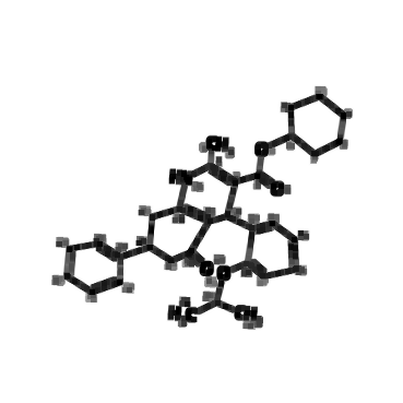 CC1=C(C(=O)OC2CCCCC2)C(c2ccccc2OC(C)C)C2=C(CC(c3ccccc3)CC2=O)N1